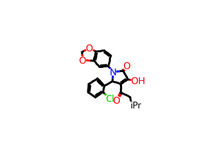 CC(C)CC(=O)C1=C(O)C(=O)N(c2ccc3c(c2)OCO3)C1c1ccccc1Cl